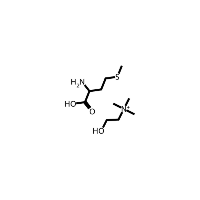 CSCCC(N)C(=O)O.C[N+](C)(C)CCO